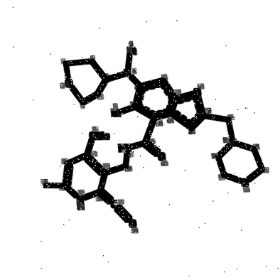 CCc1c(N(CC)C2CCOCC2)cc2oc(CN3CCOCC3)cc2c1C(=O)NCC1=C(OC)C=C(C)NC1=C=O